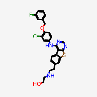 OCCNCCc1ccc2c(c1)sc1ncnc(Nc3ccc(OCc4cccc(F)c4)c(Cl)c3)c12